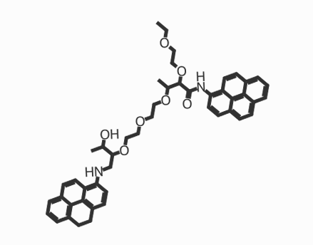 CCOCCOC(C(=O)Nc1ccc2ccc3cccc4ccc1c2c34)C(C)OCCOCCOC(CNc1ccc2c3c1ccc1cccc(c13)CC2)C(C)O